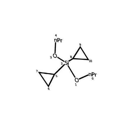 CCCO[Si](OCCC)(C1CC1)C1CC1